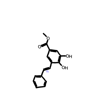 COC(=O)c1cc(O)c(O)c(/C=C/c2ccccc2)c1